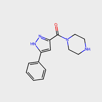 O=C(c1cc(-c2ccccc2)[nH]n1)N1CCNCC1